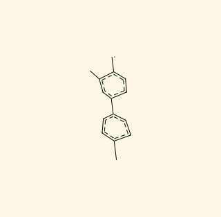 [CH2]c1ccc(-c2ccc(C)cc2)cc1C